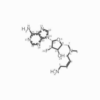 CN(C/C=C\CN)C[C@H]1O[C@@H](n2cnc3c(N)ncnc32)[C@H](F)[C@@H]1O